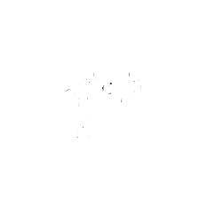 c1ccc(-c2ccc(N(c3ccccc3)c3ccc(-c4ccc(-c5cccc6c5C5(c7ccccc7-c7ccccc75)c5ccccc5-6)cc4-c4ccccc4)cc3)cc2)cc1